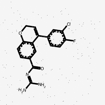 NC(N)=NC(=O)c1ccc2c(c1)C(c1ccc(F)c(Cl)c1)=CCO2